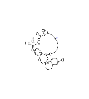 CN1CC/C=C\CCCCN2C[C@@]3(CCCc4cc(Cl)ccc43)COc3ccc(cc32)[C@@](O)(C(=O)O)CC1=O